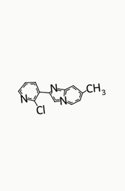 Cc1ccn2cc(-c3cccnc3Cl)nc2c1